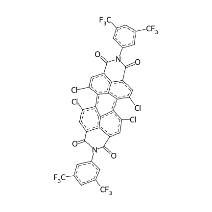 O=C1c2cc(Cl)c3c4c(Cl)cc5c6c(cc(Cl)c(c7c(Cl)cc(c2c37)C(=O)N1c1cc(C(F)(F)F)cc(C(F)(F)F)c1)c64)C(=O)N(c1cc(C(F)(F)F)cc(C(F)(F)F)c1)C5=O